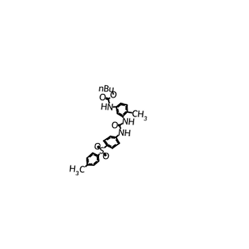 CCCCOC(=O)Nc1ccc(C)c(NC(=O)Nc2ccc(S(=O)(=O)c3ccc(C)cc3)cc2)c1